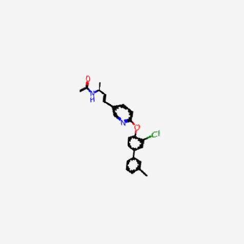 CC(=O)N[C@@H](C)/C=C/c1ccc(Oc2ccc(-c3cccc(C)c3)cc2Cl)nc1